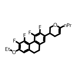 CCCC1=CCC(c2cc3c(c(F)c2F)-c2c(cc(OCC)c(F)c2F)CC3)CO1